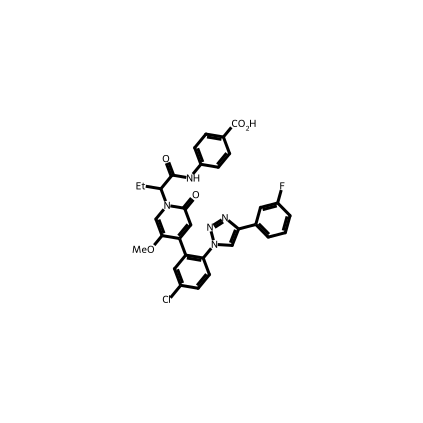 CCC(C(=O)Nc1ccc(C(=O)O)cc1)n1cc(OC)c(-c2cc(Cl)ccc2-n2cc(-c3cccc(F)c3)nn2)cc1=O